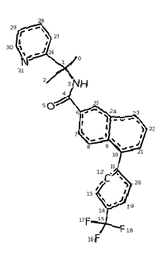 CC(C)(NC(=O)c1ccc2c(-c3ccc(C(F)(F)F)cc3)cccc2c1)c1ccccn1